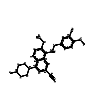 COc1ccc(CNc2c(CO)cnc3c(N4CCN(C)CC4)cc(C#N)cc23)cc1Cl